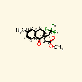 COC(=O)C[C@]1(CC(F)(F)F)CCc2cc(C)ccc2C1=O